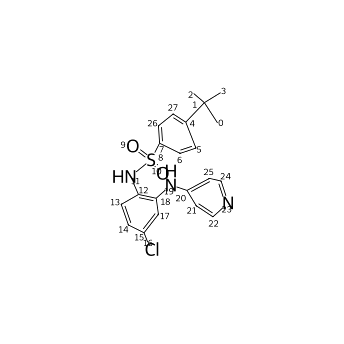 CC(C)(C)c1ccc(S(=O)(=O)Nc2ccc(Cl)cc2Nc2ccncc2)cc1